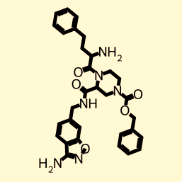 Nc1noc2cc(CNC(=O)C3CN(C(=O)OCc4ccccc4)CCN3C(=O)C(N)CCc3ccccc3)ccc12